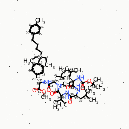 CC[Si](CC)(CCCCc1ccc(C)cc1)c1ccc(C[C@H](NC(=O)[C@H](CC(C)C)N(C)C(=O)[C@@H](NC(=O)[C@H](CC(C)C)NC(=O)[C@H](CC(C)C)NC(=O)OC(C)(C)C)C(C)C)C(=O)OC)cc1